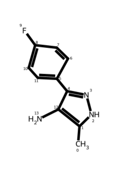 Cc1[nH]nc(-c2ccc(F)cc2)c1N